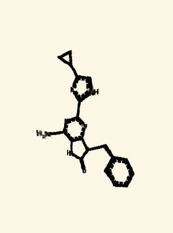 Nc1nc(-c2nc(C3CC3)c[nH]2)nc2c1NC(=O)C2Cc1ccccc1